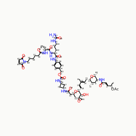 CC(=O)O[C@@H](C)C=CC(=O)N[C@@H]1C[C@H](C)[C@H](CC=C(C)C=C[C@H]2O[C@H](CC(=O)N[C@H]3C[C@H](NC(=O)OCc4ccc(NC(=O)[C@H](CCCNC(N)=O)NC(=O)[C@@H](NC(=O)CCCCCN5C(=O)C=CC5=O)C(C)C)cc4)C3)C[C@@]3(CO3)[C@@H]2O)O[C@@H]1C